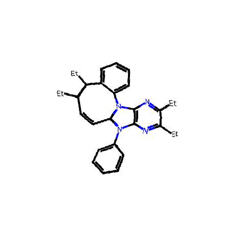 CCc1nc2c(nc1CC)N1c3ccccc3C(CC)C(CC)/C=C\C1N2c1ccccc1